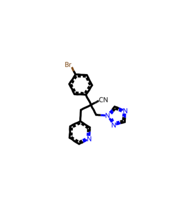 N#CC(Cc1cccnc1)(Cn1cncn1)c1ccc(Br)cc1